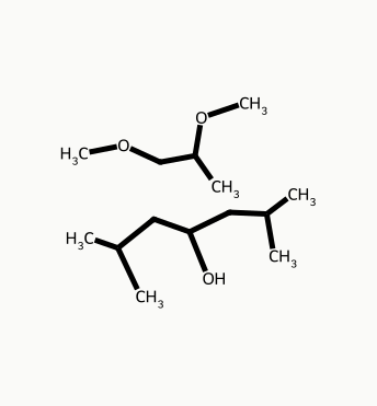 CC(C)CC(O)CC(C)C.COCC(C)OC